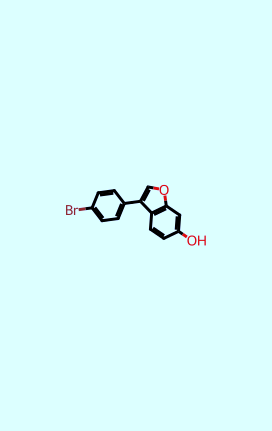 Oc1ccc2c(-c3ccc(Br)cc3)coc2c1